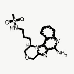 CS(=O)(=O)NCCC[C@@H]1COCc2nc3c(N)nc4ccccc4c3n21